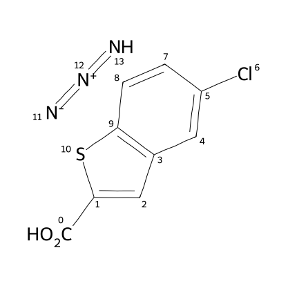 O=C(O)c1cc2cc(Cl)ccc2s1.[N-]=[N+]=N